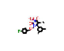 Cc1cc(C)cc(-c2c(C(C)C)c(=O)n(O)c(=O)n2COCc2ccc(F)cc2)c1